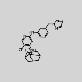 C[C@]12CC3CC(C1)[C@H](Nc1nc(Nc4cccc(Cn5cncn5)c4)ncc1Cl)C(C3)C2